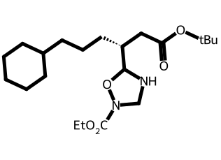 CCOC(=O)N1CNC([C@H](CCCC2CCCCC2)CC(=O)OC(C)(C)C)O1